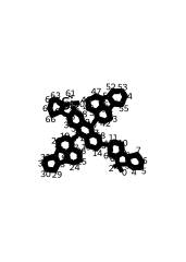 CC1(C)c2ccccc2-c2ccc(-c3ccc4c(-c5ccc6c7c(cccc57)-c5ccccc5-6)c5cc6c(cc5c(-c5ccc7c8c(cccc58)-c5ccccc5-7)c4c3)[Si](C)(C)c3ccccc3-6)cc21